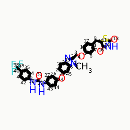 Cn1c(COc2ccc(CC3SC(=O)NC3=O)cc2)nc2ccc(Oc3ccc(NC(=O)Nc4ccc(C(F)(F)F)cc4)cc3)cc21